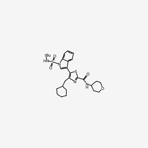 CC(C)(C)NS(=O)(=O)n1cc(-c2sc(C(=O)NC3CCOCC3)nc2CC2CCCCC2)c2ccccc21